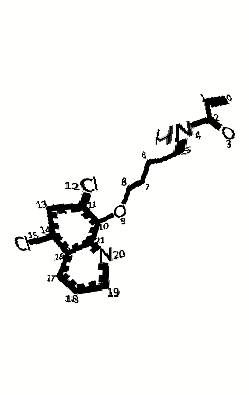 C=CC(=O)NCCCCOc1c(Cl)cc(Cl)c2cccnc12